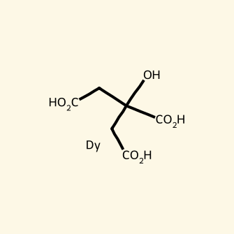 O=C(O)CC(O)(CC(=O)O)C(=O)O.[Dy]